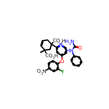 CC1(C(=O)O)C=CCC(C(=O)O)(c2cc(Oc3ccc([N+](=O)[O-])cc3F)ccn2)C1.NC(=O)Nc1ccccc1